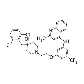 Cc1cc(Nc2cc(OCCN3CCC(O)(Cc4c(Cl)cccc4Cl)CC3)cc(C(F)(F)F)c2)c2ccccc2n1